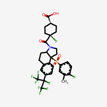 Cc1cc(S(=O)(=O)C23CCN(C(=O)[C@]4(F)CC[C@@H](C(=O)O)CC4)C2CCc2cc(C(F)(C(F)(F)F)C(F)(F)F)ccc23)ccc1F